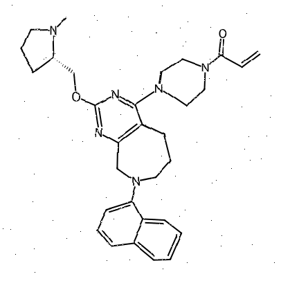 C=CC(=O)N1CCN(c2nc(OC[C@@H]3CCCN3C)nc3c2CCCN(c2cccc4ccccc24)C3)CC1